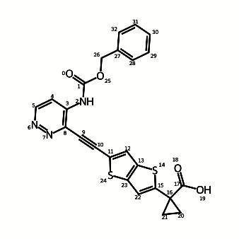 O=C(Nc1ccnnc1C#Cc1cc2sc(C3(C(=O)O)CC3)cc2s1)OCc1ccccc1